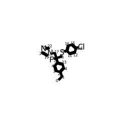 CCc1ccc(C(F)(CSc2ccc(Cl)cc2)Cn2ccnc2)cc1